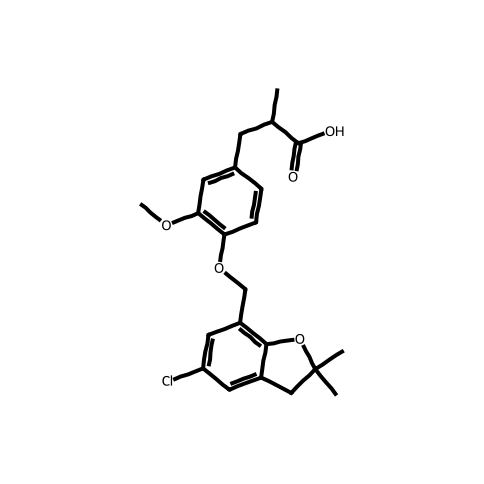 COc1cc(CC(C)C(=O)O)ccc1OCc1cc(Cl)cc2c1OC(C)(C)C2